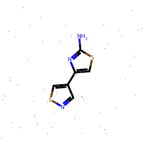 Nc1nc(-c2cnsc2)cs1